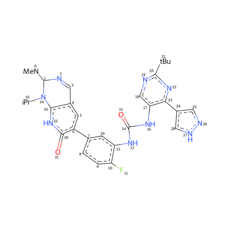 CNC1N=Cc2cc(-c3ccc(F)c(NC(=O)Nc4cnc(C(C)(C)C)nc4-c4cn[nH]c4)c3)c(=O)[nH]c2N1C(C)C